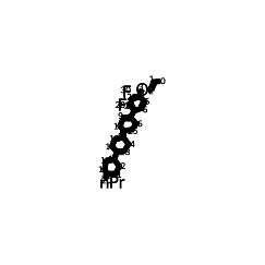 C/C=C/Oc1ccc(C2=CCC(C3CCC(C4CCC(CCC)CC4)CC3)CC2)c(F)c1F